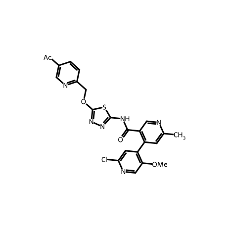 COc1cnc(Cl)cc1-c1cc(C)ncc1C(=O)Nc1nnc(OCc2ccc(C(C)=O)cn2)s1